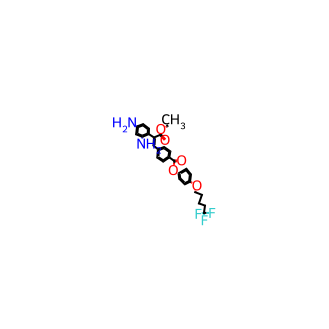 CCOC(=O)C(=Cc1ccc(C(=O)Oc2ccc(OCCCCC(F)(F)F)cc2)cc1)c1ccc(N)cc1N